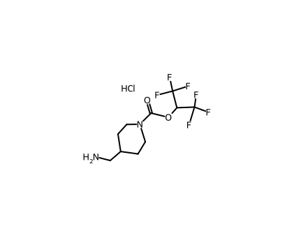 Cl.NCC1CCN(C(=O)OC(C(F)(F)F)C(F)(F)F)CC1